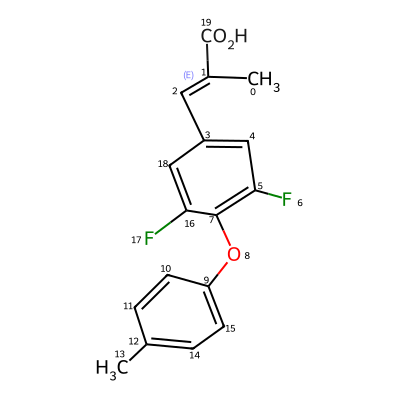 C/C(=C\c1cc(F)c(Oc2ccc(C)cc2)c(F)c1)C(=O)O